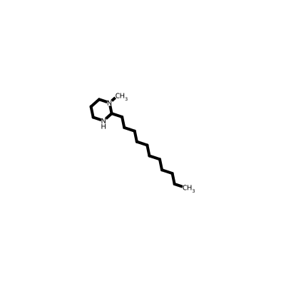 CCCCCCCCCCCC1NCCCN1C